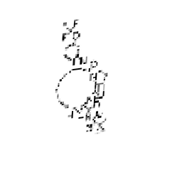 CC1(S(=O)(=O)NC(=O)[C@@]23C[C@H]2/C=C\CCCCC[C@H](Nc2cccc(OC(F)(F)F)c2)C(=O)N2CCC[C@H]2C(=O)N3)CC1